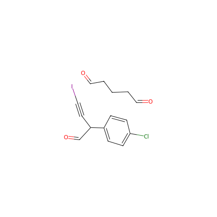 O=CC(C#CI)c1ccc(Cl)cc1.O=CCCCC=O